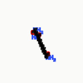 NCC(=O)CCCCCCCCCCCCNC(=O)/C=C/C(N)=O